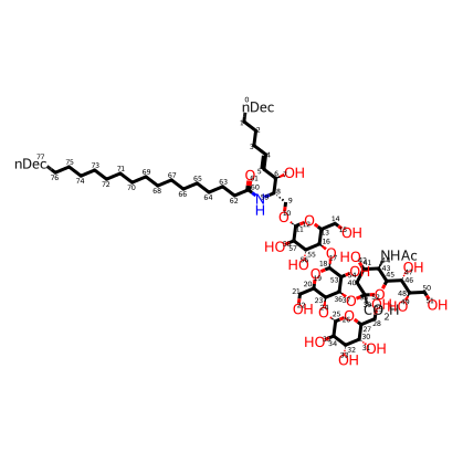 CCCCCCCCCCCCC/C=C/[C@@H](O)[C@H](CO[C@@H]1OC(CO)[C@@H](O[C@@H]2OC(CO)[C@H](O[C@@H]3OC(CO)[C@H](O)[C@H](O)C3O)[C@H](O[C@]3(C(=O)O)CC(O)[C@@H](NC(C)=O)C([C@H](O)[C@H](O)CO)O3)C2O)[C@H](O)C1O)NC(=O)CCCCCCCCCCCCCCCCCCCCCCCCC